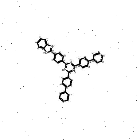 c1ccc(-c2ccc(-c3nc(-c4ccc(-c5ccccc5)cc4)nc(-c4ccc(-c5nc6ccccc6o5)cc4)n3)cc2)cc1